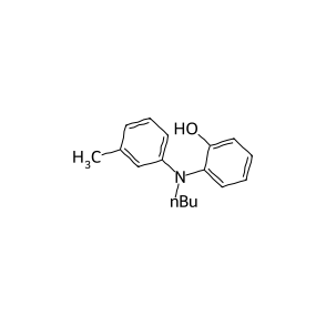 CCCCN(c1cccc(C)c1)c1ccccc1O